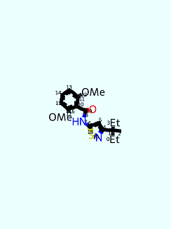 CCC(C)(CC)c1cc(NC(=O)c2c(OC)cccc2OC)sn1